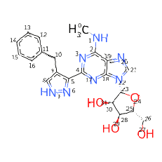 CNc1nc(-c2n[nH]cc2Cc2ccccc2)nc2c1ncn2[C@@H]1O[C@H](CO)[C@@H](O)[C@H]1O